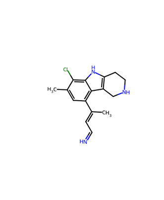 C/C(=C\C=N)c1cc(C)c(Cl)c2[nH]c3c(c12)CNCC3